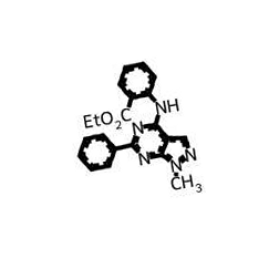 CCOC(=O)c1ccccc1Nc1nc(-c2ccccc2)nc2c1cnn2C